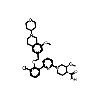 COc1cc(COc2c(Cl)cccc2-c2cccc(N3CC[C@H](C(=O)O)[C@H](OC)C3)n2)cc2c1CN(C1CCOCC1)CC2